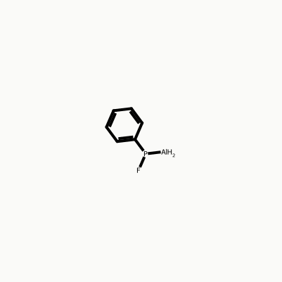 F[P]([AlH2])c1ccccc1